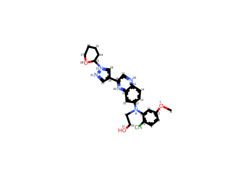 COc1ccc(Cl)c(N(CCO)c2ccc3ncc(-c4cnn(C5CCCCO5)c4)nc3c2)c1